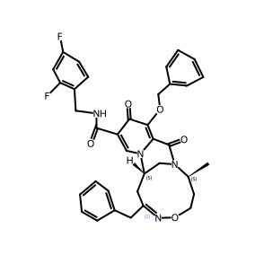 C[C@H]1CCO/N=C(/Cc2ccccc2)C[C@H]2CN1C(=O)c1c(OCc3ccccc3)c(=O)c(C(=O)NCc3ccc(F)cc3F)cn12